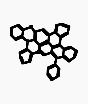 c1ccc(-c2c3ccccc3c(-c3ccccc3-c3cc4c5c(c3)Oc3ccccc3B5c3ccccc3O4)c3ccccc23)cc1